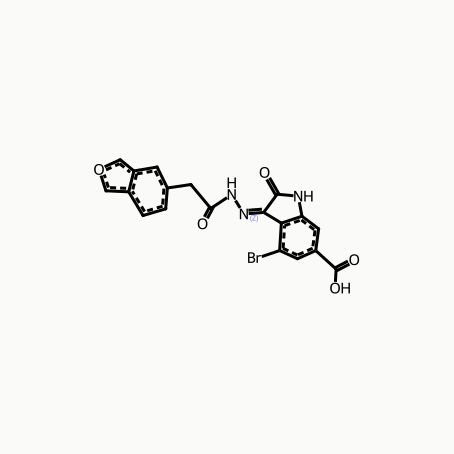 O=C(Cc1ccc2cocc2c1)N/N=C1\C(=O)Nc2cc(C(=O)O)cc(Br)c21